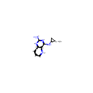 CC[C@H]1C[C@@H]1Nc1nc(N)nc2cccnc12